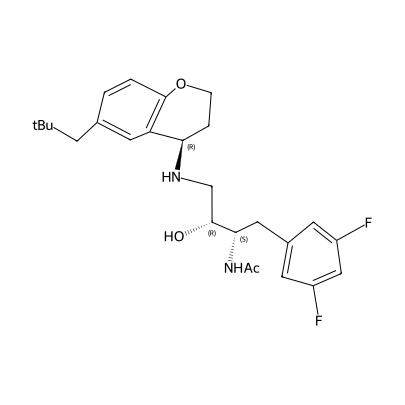 CC(=O)N[C@@H](Cc1cc(F)cc(F)c1)[C@H](O)CN[C@@H]1CCOc2ccc(CC(C)(C)C)cc21